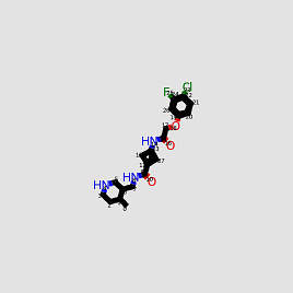 CC1CCNCC1CNC(=O)C12CC(NC(=O)COc3ccc(Cl)c(F)c3)(C1)C2